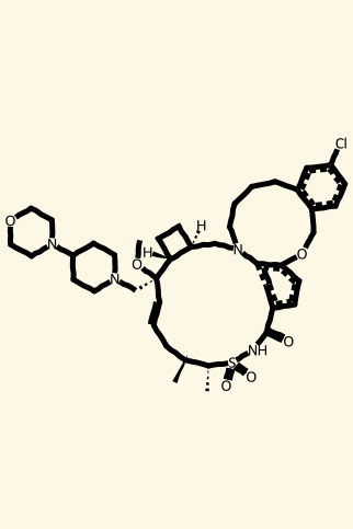 CO[C@]1(CN2CCC(N3CCOCC3)CC2)/C=C/C[C@H](C)[C@@H](C)S(=O)(=O)NC(=O)c2ccc3c(c2)N(CCCCc2cc(Cl)ccc2CO3)C[C@@H]2CC[C@H]21